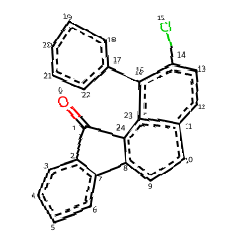 O=C1c2ccccc2-c2ccc3ccc(Cl)c(-c4ccccc4)c3c21